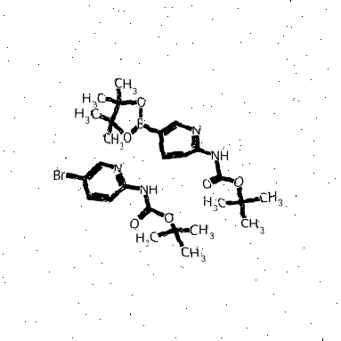 CC(C)(C)OC(=O)Nc1ccc(B2OC(C)(C)C(C)(C)O2)cn1.CC(C)(C)OC(=O)Nc1ccc(Br)cn1